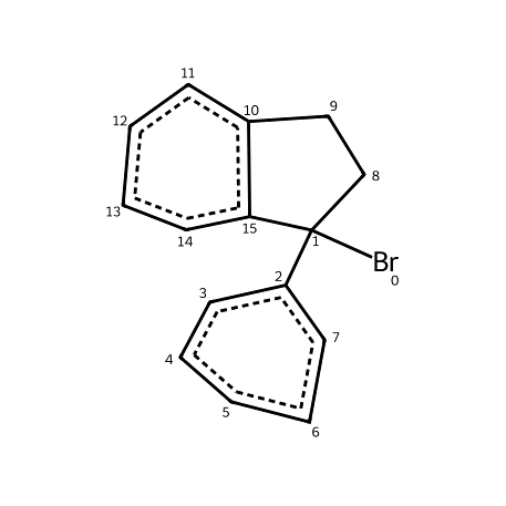 BrC1(c2ccccc2)CCc2ccccc21